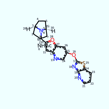 CC(=O)N[C@@H]1C[C@H]2CC[C@@H](C1)N2Cc1cc2ncc(Oc3nc4ncccc4s3)cc2o1